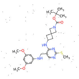 COc1cc(NCc2cnc(SC)nc2NC2CC3(C2)CN(C(=O)OC(C)(C)C)C3)cc(OC)c1